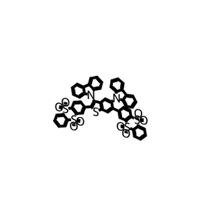 O=S1(=O)c2ccccc2S(=O)(=O)c2cc(-c3cc4sc(-c5ccc6c(c5)S(=O)(=O)c5ccccc5S6(=O)=O)c(-n5c6ccccc6c6ccccc65)c4cc3-n3c4ccccc4c4ccccc43)ccc21